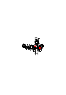 NC1CC2CCC(C1)N2C(=O)C(NS(=O)(=O)c1ccc2nn(CC3CCCC3)cc2c1)C(F)(F)c1ccc(Br)cc1